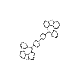 c1ccc(N(c2ccc(-c3ccc(N(c4ccccc4)c4cccc5c4-c4ccccc4C5)cc3)cc2)c2cccc3c2-c2ccccc2C3)cc1